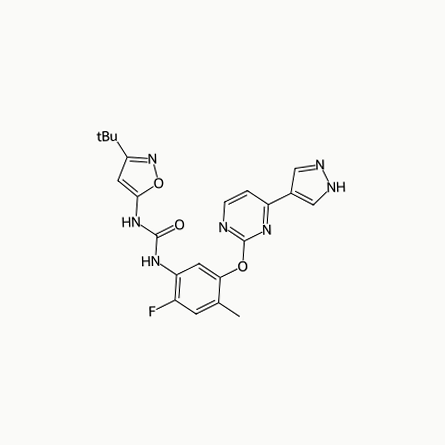 Cc1cc(F)c(NC(=O)Nc2cc(C(C)(C)C)no2)cc1Oc1nccc(-c2cn[nH]c2)n1